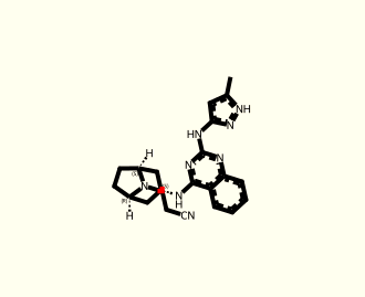 Cc1cc(Nc2nc(N[C@@H]3C[C@H]4CC[C@@H](C3)N4CCC#N)c3ccccc3n2)n[nH]1